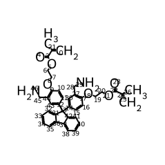 C=C(C)C(=O)OCCOc1ccc(C2(c3ccc(OCCOC(=O)C(=C)C)c(CN)c3)c3ccccc3-c3ccccc32)cc1CN